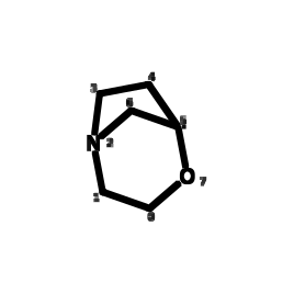 C1CN2CC[C](C2)O1